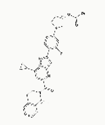 CC(C)C(=O)O[C@H]1CCN(c2ccc(-c3cc4nc(C(=O)N5CCc6ccccc6[C@H]5C)cc(C5CC5)n4n3)c(F)c2)C1